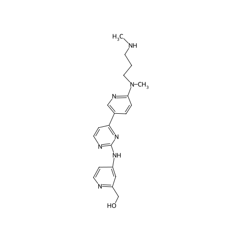 CNCCCN(C)c1ccc(-c2ccnc(Nc3ccnc(CO)c3)n2)cn1